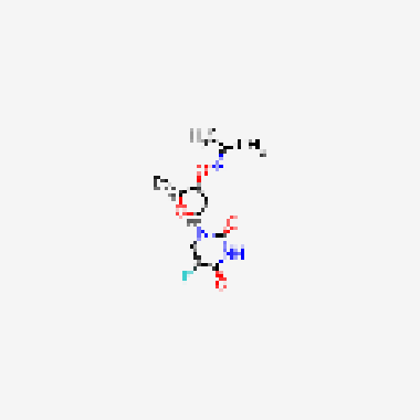 CC[C@H]1O[C@@H](n2cc(F)c(=O)[nH]c2=O)CC1ON=C(C)C